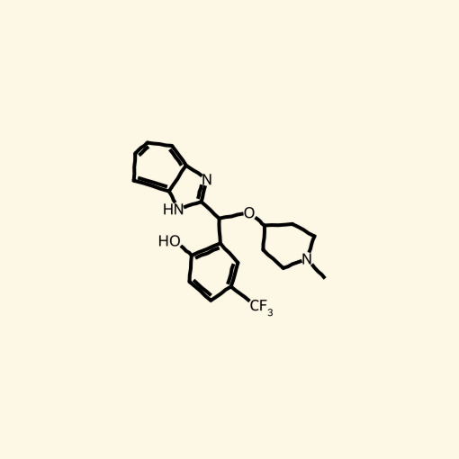 CN1CCC(OC(c2nc3ccccc3[nH]2)c2cc(C(F)(F)F)ccc2O)CC1